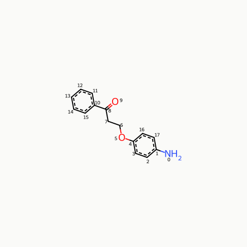 Nc1ccc(OCCC(=O)c2ccccc2)cc1